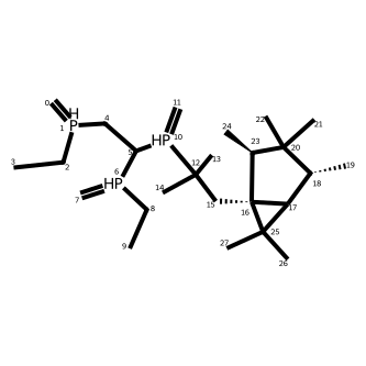 C=[PH](CC)CC([PH](=C)CC)[PH](=C)C(C)(C)C[C@@]12C([C@@H](C)C(C)(C)[C@@H]1C)C2(C)C